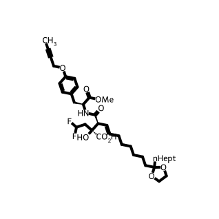 CC#CCOc1ccc(C[C@H](NC(=O)[C@@H](/C=C/CCCCCCC2(CCCCCCC)OCCO2)[C@@](O)(CC(F)F)C(=O)O)C(=O)OC)cc1